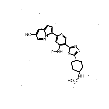 CC(C)Nc1cc(-c2ccc3cc(C#N)cnn23)ncc1-c1nnc([C@H]2CC[C@H](NC(=O)O)CC2)s1